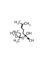 C#C[C@@](O)(CCC=C(C)C)O[C@](C)(CC)OC